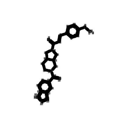 O=C(/C=C/c1ccc(OC(F)(F)F)cc1)N1CC2CCN(C(=O)c3ccc4[nH]nnc4c3)CC2C1